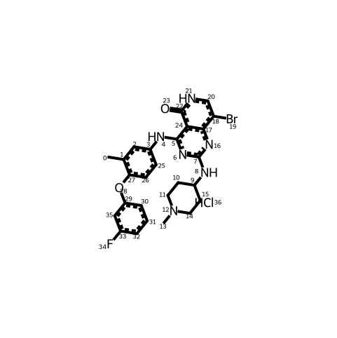 Cc1cc(Nc2nc(NC3CCN(C)CC3)nc3c(Br)c[nH]c(=O)c23)ccc1Oc1cccc(F)c1.Cl